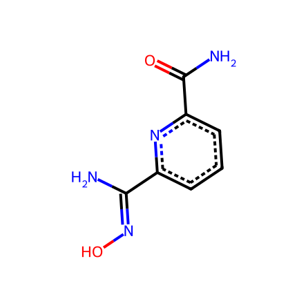 NC(=O)c1cccc(C(N)=NO)n1